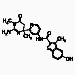 Cc1c(C(=O)Nc2ccnc(C3(C)CC(=O)N(C)C(N)=N3)c2)sc2ccc(O)cc12